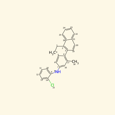 CCc1c(-c2ccc(Nc3ccccc3Cl)cc2C)ccc2ccccc12